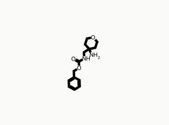 NC1(CNC(=O)OCc2ccccc2)CCOCC1